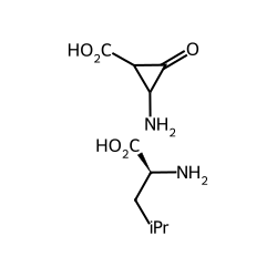 CC(C)C[C@H](N)C(=O)O.NC1C(=O)C1C(=O)O